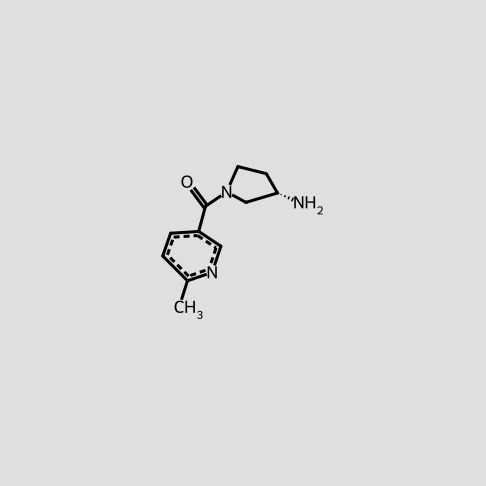 Cc1ccc(C(=O)N2CC[C@H](N)C2)cn1